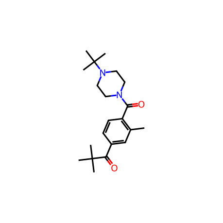 Cc1cc(C(=O)C(C)(C)C)ccc1C(=O)N1CCN(C(C)(C)C)CC1